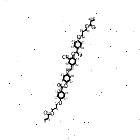 C=CC(=O)OCCCOc1ccc(C(=O)Oc2ccc(/N=C/c3ccc(OC(=O)c4ccc(OCCCOC(=O)C=C)cc4)c(Cl)c3)cc2)cc1